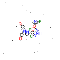 COc1ccc(CN(Cc2ccc(OC)cc2)c2cc(C)cc(-c3c(F)c4c5c(c3Cl)=NCNC=5N(C)C=C(OC[C@@]35CCCN3C[C@H](F)C5)O4)n2)cc1